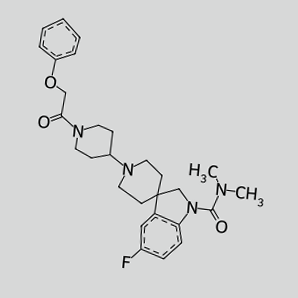 CN(C)C(=O)N1CC2(CCN(C3CCN(C(=O)COc4ccccc4)CC3)CC2)c2cc(F)ccc21